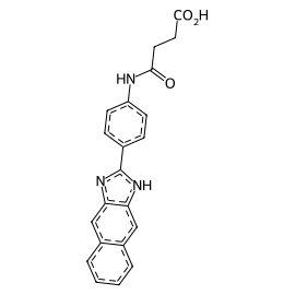 O=C(O)CCC(=O)Nc1ccc(-c2nc3cc4ccccc4cc3[nH]2)cc1